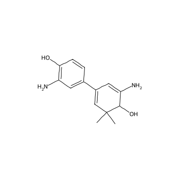 CC1(C)C=C(c2ccc(O)c(N)c2)C=C(N)C1O